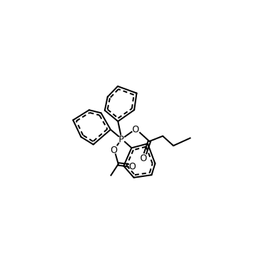 CCCC(=O)OP(OC(C)=O)(c1ccccc1)(c1ccccc1)c1ccccc1